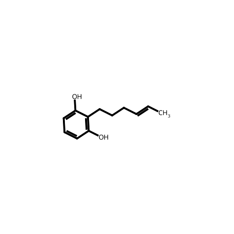 CC=CCCCc1c(O)cccc1O